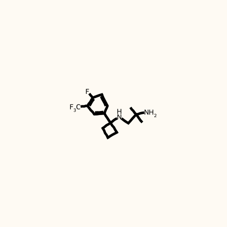 CC(C)(N)CNC1(c2ccc(F)c(C(F)(F)F)c2)CCC1